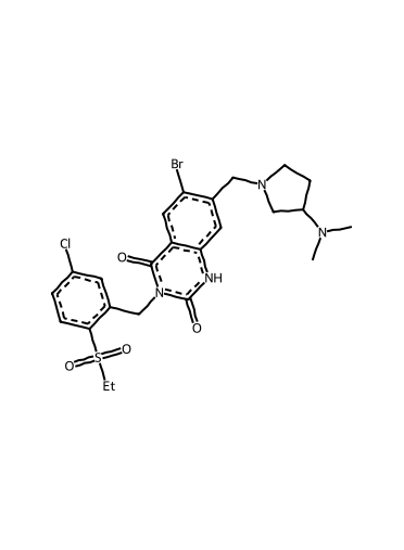 CCS(=O)(=O)c1ccc(Cl)cc1Cn1c(=O)[nH]c2cc(CN3CCC(N(C)C)C3)c(Br)cc2c1=O